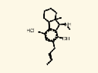 CC=CCc1cc(C)c2c(c1O)C(NC)C1(C)CCCCC21.Cl